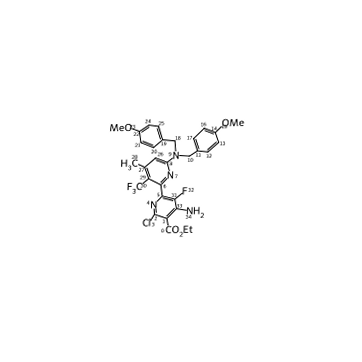 CCOC(=O)c1c(Cl)nc(-c2nc(N(Cc3ccc(OC)cc3)Cc3ccc(OC)cc3)cc(C)c2C(F)(F)F)c(F)c1N